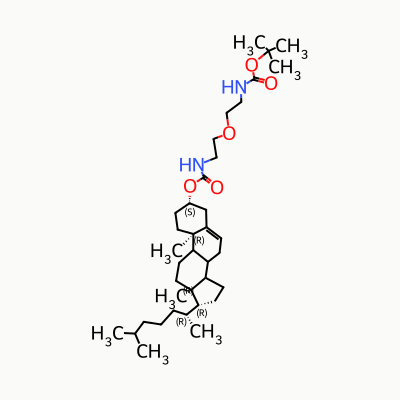 CC(C)CCC[C@@H](C)[C@H]1CCC2C3CC=C4C[C@@H](OC(=O)NCCOCCNC(=O)OC(C)(C)C)CC[C@]4(C)C3CC[C@@]21C